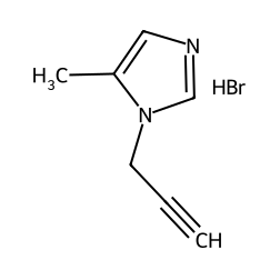 Br.C#CCn1cncc1C